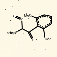 CCCCCCCC(P=O)C(=O)c1c(OC)cccc1OC